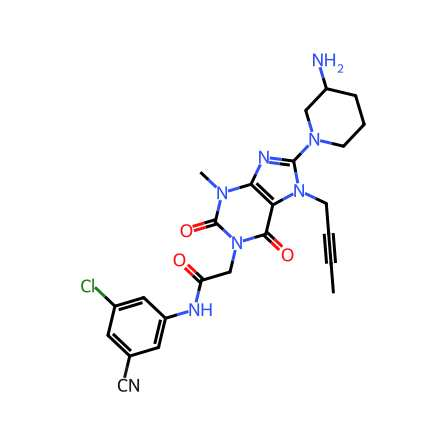 CC#CCn1c(N2CCCC(N)C2)nc2c1c(=O)n(CC(=O)Nc1cc(Cl)cc(C#N)c1)c(=O)n2C